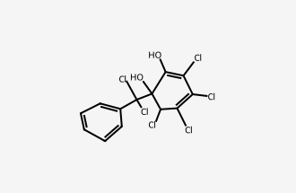 OC1=C(Cl)C(Cl)=C(Cl)C(Cl)C1(O)C(Cl)(Cl)c1ccccc1